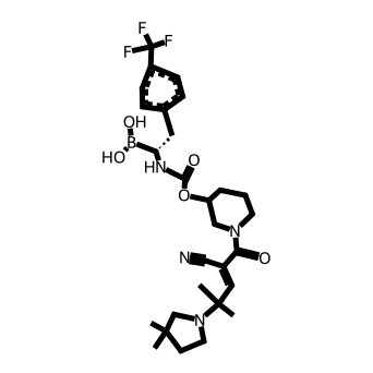 CC1(C)CCN(C(C)(C)C=C(C#N)C(=O)N2CCCC(OC(=O)N[C@@H](Cc3ccc(C(F)(F)F)cc3)B(O)O)C2)C1